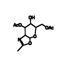 CC(=O)OCC1OC2OC(C)=NC2C(OC(C)=O)C1O